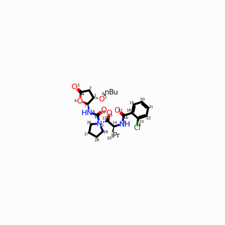 CCCCO[C@H]1CC(=O)O[C@@H]1NC(=O)[N+]1(C(=O)[C@@H](NC(=O)c2ccccc2Cl)C(C)C)CCCC1